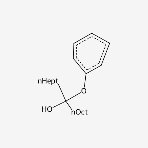 CCCCCCCCC(O)(CCCCCCC)Oc1ccccc1